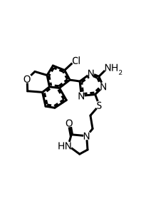 Nc1nc(SCCN2CCNC2=O)nc(-c2c(Cl)cc3c4c(cccc24)COC3)n1